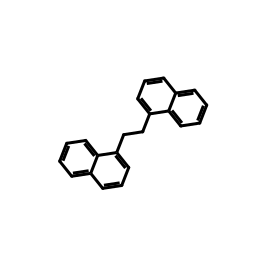 c1ccc2c(CCc3cccc4ccccc34)cccc2c1